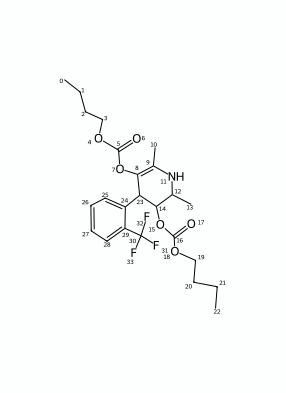 CCCCOC(=O)OC1=C(C)NC(C)C(OC(=O)OCCCC)C1c1ccccc1C(F)(F)F